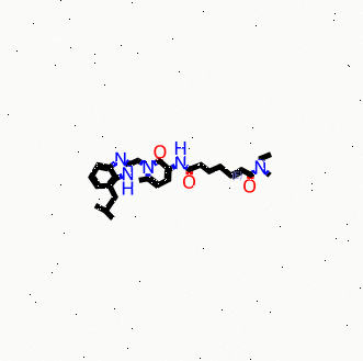 CCN(C)C(=O)/C=C/CCCC(=O)Nc1ccc(C)n(Cc2nc3cccc(CC(C)C)c3[nH]2)c1=O